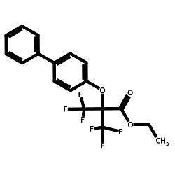 CCOC(=O)C(Oc1ccc(-c2ccccc2)cc1)(C(F)(F)F)C(F)(F)F